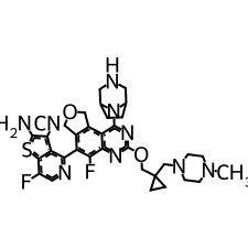 CN1CCN(CC2(COc3nc(N4C5CCC4CNC5)c4c5c(c(-c6ncc(F)c7sc(N)c(C#N)c67)c(F)c4n3)COC5)CC2)CC1